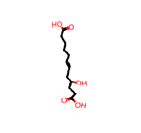 O=C(O)CCCCC=CCC(O)CCC(=O)O